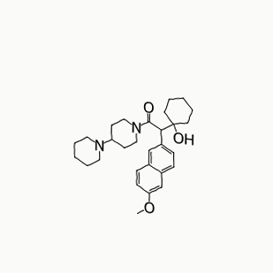 COc1ccc2cc(C(C(=O)N3CCC(N4CCCCC4)CC3)C3(O)CCCCC3)ccc2c1